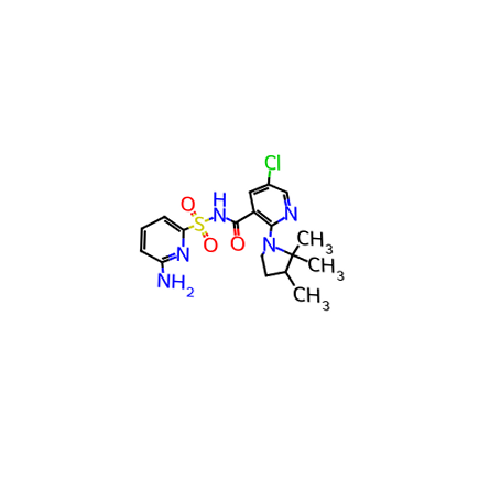 CC1CCN(c2ncc(Cl)cc2C(=O)NS(=O)(=O)c2cccc(N)n2)C1(C)C